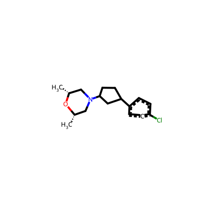 C[C@@H]1CN(C2CCC(c3ccc(Cl)cc3)C2)C[C@H](C)O1